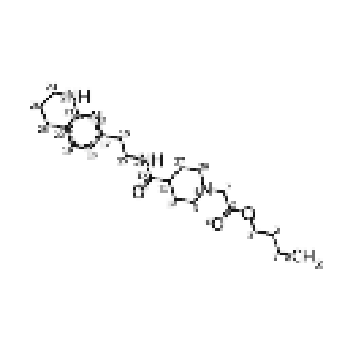 CCCCOC(=O)CN1CCC(C(=O)NCCc2ccc3c(n2)NCCC3)CC1